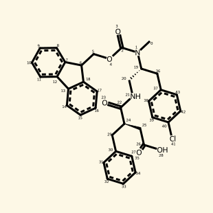 CN(C(=O)OCC1c2ccccc2-c2ccccc21)[C@@H](CNC(=O)[C@@H](CC(=O)O)Cc1ccccc1)Cc1ccc(Cl)cc1